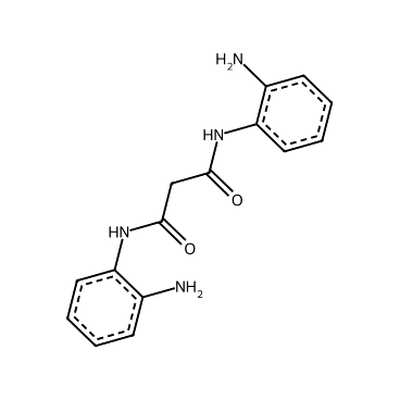 Nc1ccccc1NC(=O)CC(=O)Nc1ccccc1N